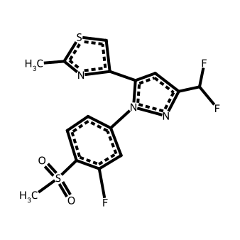 Cc1nc(-c2cc(C(F)F)nn2-c2ccc(S(C)(=O)=O)c(F)c2)cs1